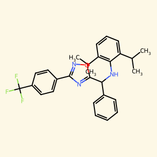 CC(C)c1cccc(C(C)C)c1NC(c1ccccc1)c1nc(-c2ccc(C(F)(F)F)cc2)no1